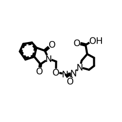 O=C(O)C1CCCN(n2on2OCN2C(=O)c3ccccc3C2=O)C1